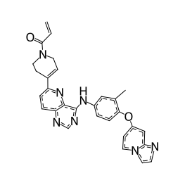 C=CC(=O)N1CC=C(c2ccc3ncnc(Nc4ccc(Oc5ccn6ccnc6c5)c(C)c4)c3n2)CC1